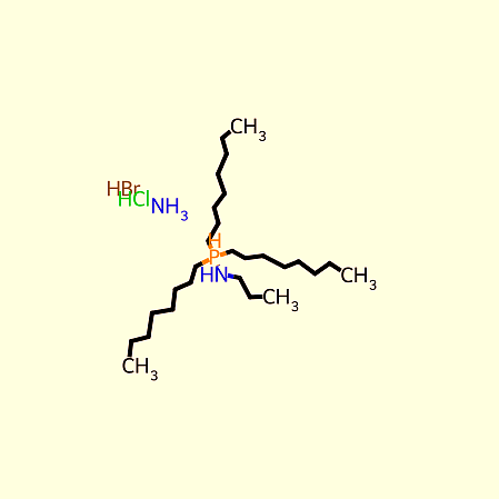 Br.CCCCCCCC[PH](CCCCCCCC)(CCCCCCCC)NCCC.Cl.N